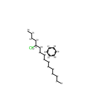 CCCCCCCCCCCC(Cl)CCCC.c1ccccc1